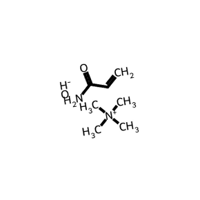 C=CC(N)=O.C[N+](C)(C)C.[OH-]